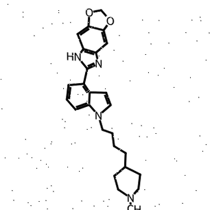 CN1CCC(CCCCn2ccc3c(-c4nc5cc6c(cc5[nH]4)OCO6)cccc32)CC1